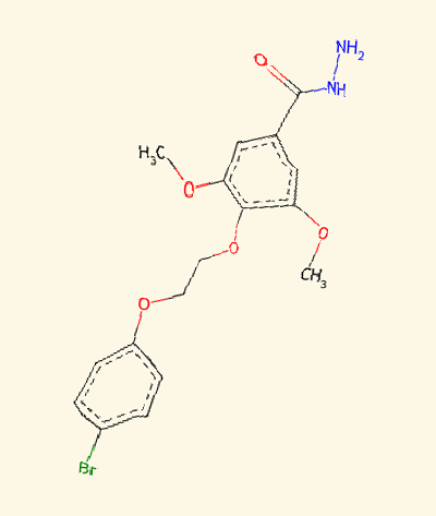 COc1cc(C(=O)NN)cc(OC)c1OCCOc1ccc(Br)cc1